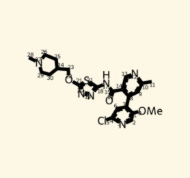 COc1cnc(Cl)cc1-c1cc(C)ncc1C(=O)Nc1nnc(OCC2CCN(C)CC2)s1